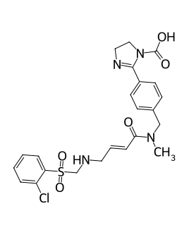 CN(Cc1ccc(C2=NCCN2C(=O)O)cc1)C(=O)C=CCNCS(=O)(=O)c1ccccc1Cl